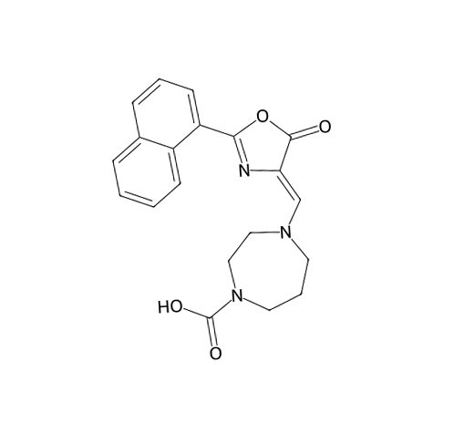 O=C1OC(c2cccc3ccccc23)=NC1=CN1CCCN(C(=O)O)CC1